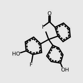 CC(c1ccc(O)cc1)(c1ccc(O)c(F)c1)c1ccccc1C(=O)I